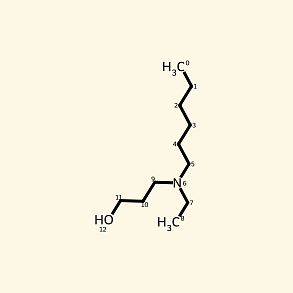 CCCCCCN(CC)CCCO